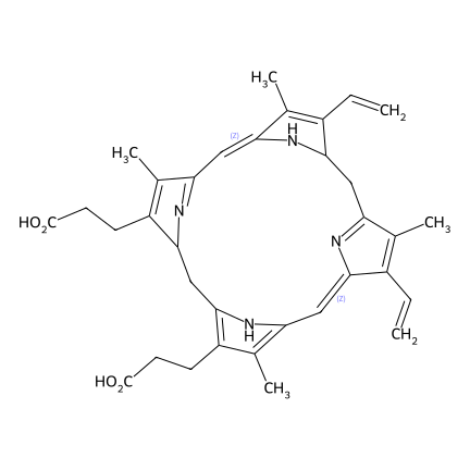 C=CC1=C(C)C2=N/C1=C\c1[nH]c(c(CCC(=O)O)c1C)CC1N=C(/C=C3\NC(C2)C(C=C)=C3C)C(C)=C1CCC(=O)O